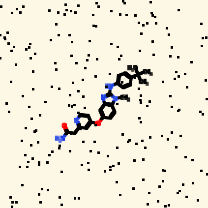 Cn1c(Nc2ccc(C(C)(C)C)cc2)nc2cc(Oc3ccnc(CC(N)=O)c3)ccc21